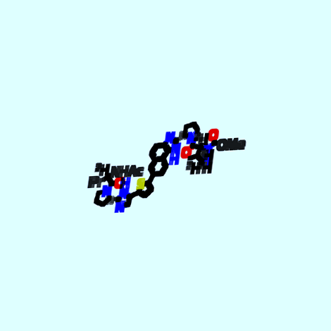 [2H]C([2H])([2H])C(C)C([2H])(NC(=O)OC)C(=O)N1CCC[C@H]1c1nc2ccc3cc(-c4ccc(-c5cnc([C@@H]6CCCN6C(=O)C([2H])(NC(C)=O)C(C)C)[nH]5)s4)ccc3c2[nH]1